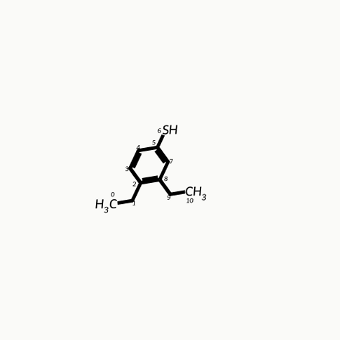 CCc1ccc(S)cc1CC